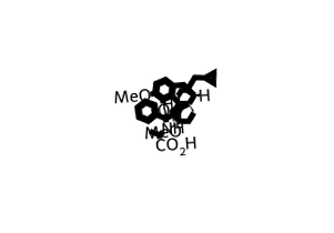 COc1ccc2c3c1O[C@H]1[C@@]4(OC)CC[C@@]5(C[C@@H]4C(NC(C)C(=O)O)c4ccccc4)[C@@H](C2)C(CC2CC2)CC[C@]315